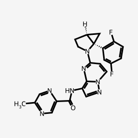 Cc1cnc(C(=O)Nc2cnn3ccc(N4CC[C@H]5C[C@]54c4cc(F)ccc4F)nc23)cn1